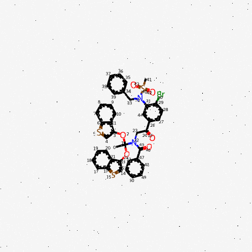 CC(Oc1csc2ccccc12)(Oc1csc2ccccc12)N(CC(=O)c1ccc(Br)c(N(Cc2ccccc2)S(C)(=O)=O)c1)C(=O)c1ccccc1